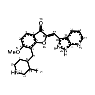 COc1ccc2c(c1CC1CCNCC1F)O/C(=C\c1n[nH]c3ncccc13)C2=O